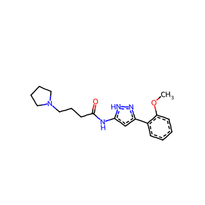 COc1ccccc1-c1cc(NC(=O)CCCN2CCCC2)[nH]n1